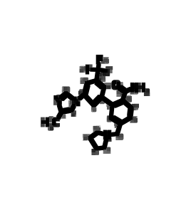 Cc1cn(-c2cc(-c3cc(CN4CCCC4)ccc3C(N)=O)cc(C(F)(F)F)c2)cn1